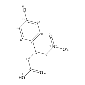 O=C(O)C[C@@H](C[N+](=O)[O-])c1ccc(Cl)cc1